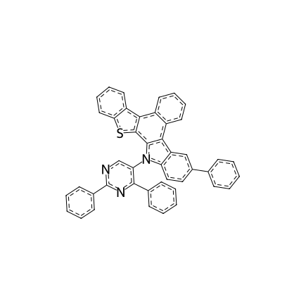 c1ccc(-c2ccc3c(c2)c2c4ccccc4c4c5ccccc5sc4c2n3-c2cnc(-c3ccccc3)nc2-c2ccccc2)cc1